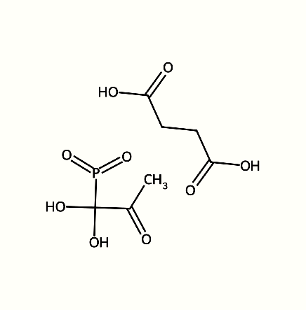 CC(=O)C(O)(O)P(=O)=O.O=C(O)CCC(=O)O